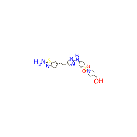 Nc1nc2ccc(C=Cc3cnc(Nc4ccc(S(=O)(=O)N5CCC(CO)CC5)cc4)nc3)cc2s1